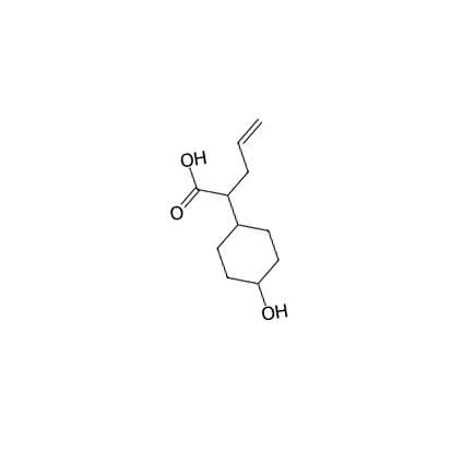 C=CCC(C(=O)O)C1CCC(O)CC1